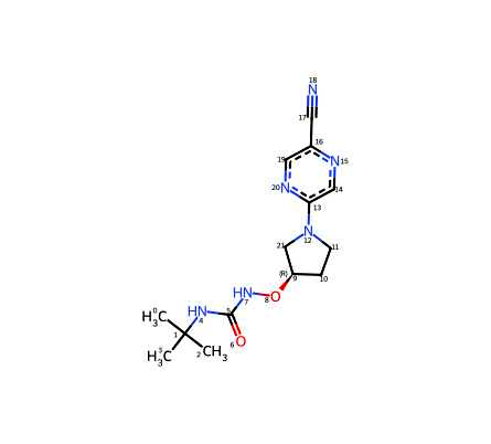 CC(C)(C)NC(=O)NO[C@@H]1CCN(c2cnc(C#N)cn2)C1